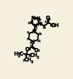 CC(C)(C)OC(=O)N1CCN(c2cnnn2CC(=O)O)CC1